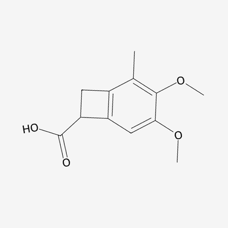 COc1cc2c(c(C)c1OC)CC2C(=O)O